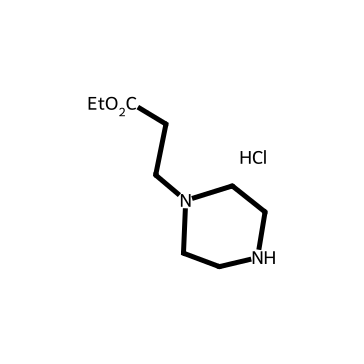 CCOC(=O)CCN1CCNCC1.Cl